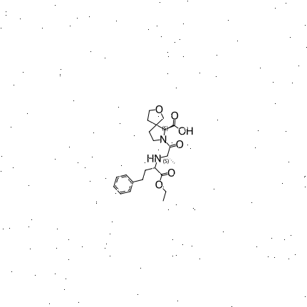 CCOC(=O)C(CCc1ccccc1)N[C@@H](C)C(=O)N1CCC2(CCOC2)[C@H]1C(=O)O